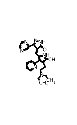 CCN(CC)CCc1c(C)[nH]c(C=C2C(=O)NN=C2c2cnccn2)c1-c1ccccn1